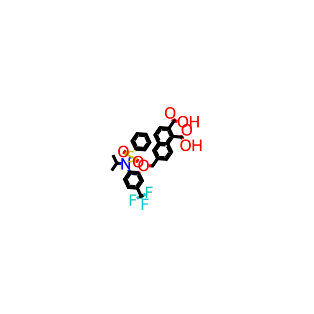 CC(C)N(c1ccc(C(F)(F)F)cc1OCc1ccc2c(C(=O)O)c(C(=O)O)ccc2c1)S(=O)(=O)c1ccccc1